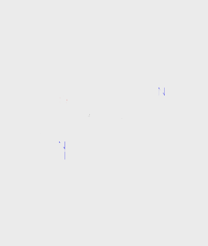 N#CCCC1CNCCO1